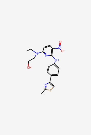 CCN(CCO)c1ccc([N+](=O)[O-])c(Nc2ccc(-c3csc(C)n3)cc2)n1